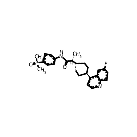 C[C@@H](C(=O)Nc1ccc(P(C)(C)=O)cc1)[C@H]1CC[C@H](c2ccnc3ccc(F)cc32)CC1